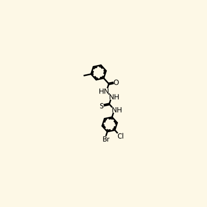 Cc1cccc(C(=O)NNC(=S)Nc2ccc(Br)c(Cl)c2)c1